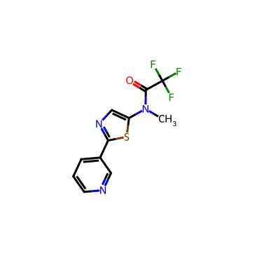 CN(C(=O)C(F)(F)F)c1cnc(-c2cccnc2)s1